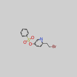 O=S(=O)(Oc1ccc(CCBr)nc1)c1ccccc1